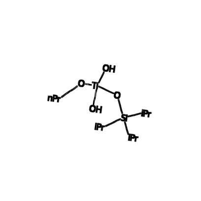 CCC[O][Ti]([OH])([OH])[O][Si](C(C)C)(C(C)C)C(C)C